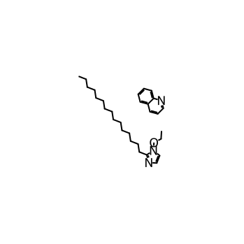 CCCCCCCCCCCCCCCc1nccn1OCC.c1ccc2ncccc2c1